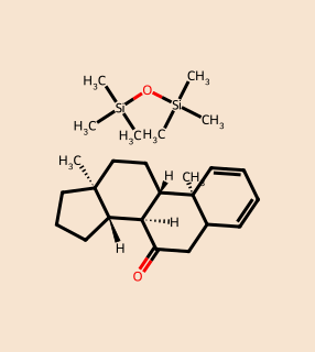 C[C@@]12CCC[C@H]1[C@@H]1C(=O)CC3C=CC=C[C@]3(C)[C@H]1CC2.C[Si](C)(C)O[Si](C)(C)C